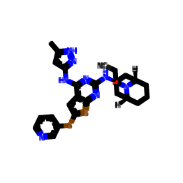 Cc1cc(Nc2nc(N[C@@H]3C[C@H]4CCC[C@@H](C3)N4CCC#N)nc3sc(Sc4cccnc4)cc23)n[nH]1